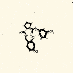 O=C(NCc1ccc(Cl)cc1Cl)[C@@H]1CCCN1C(=O)Nc1cccc(C(F)(F)F)c1